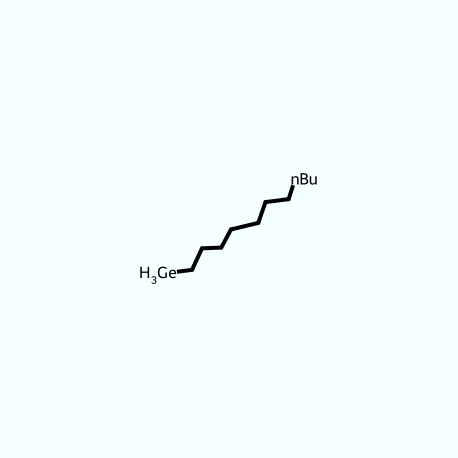 CCCCCCCCCC[CH2][GeH3]